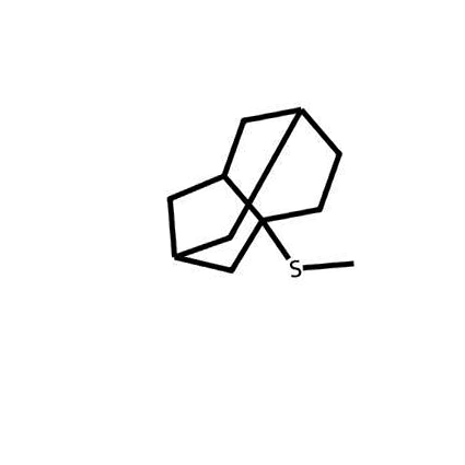 CSC12CCC3CC(CC1C3)C2